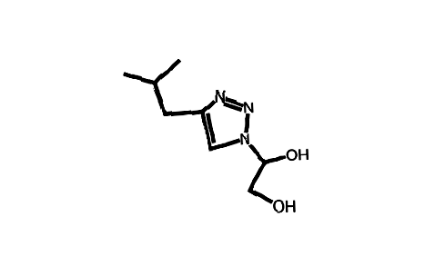 CC(C)Cc1cn(C(O)CO)nn1